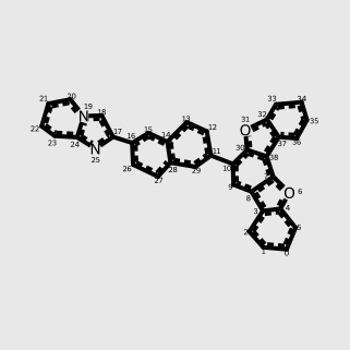 c1ccc2c(c1)oc1c2cc(-c2ccc3cc(-c4cn5ccccc5n4)ccc3c2)c2oc3ccccc3c21